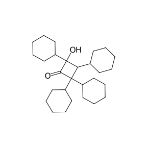 O=C1C(O)(C2CCCCC2)C(C2CCCCC2)C1(C1CCCCC1)C1CCCCC1